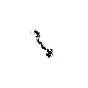 CN(c1cc(F)c(N2CCN(CC3CCN(C(=O)COC(=O)N4CC5(C4)CN(c4cnc(-c6c(-c7nn(C(C)(C)C)c8ncnc(N)c78)noc6C6CC6)nc4)C5)CC3)CC2)c(F)c1)[C@H]1CCC(=O)NC1=O